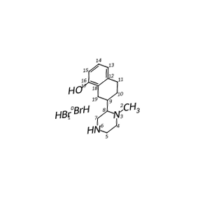 Br.Br.CN1CCNCC1C1CCc2cccc(O)c2C1